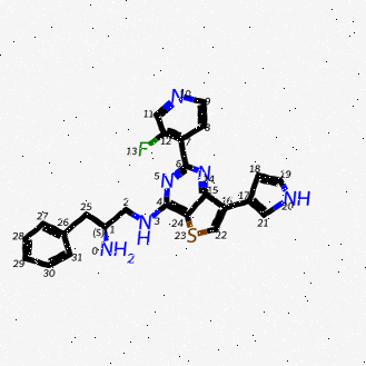 N[C@H](CNc1nc(-c2ccncc2F)nc2c(-c3cc[nH]c3)csc12)Cc1ccccc1